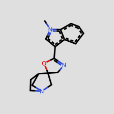 Cn1cc(C2=NCC3(CN4CCC3C4)O2)c2ccccc21